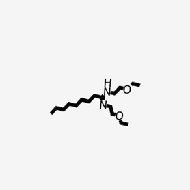 CCCCCCCCC(=NCCOCC)NCCOCC